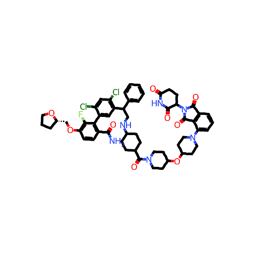 NC(=O)c1ccc(OC[C@@H]2CCCO2)c(F)c1-c1cc(C(CNC2CCC(C(=O)N3CCC(OC4CCN(c5cccc6c5C(=O)N(C5CCC(=O)NC5=O)C6=O)CC4)CC3)CC2)c2ccccc2)c(Cl)cc1Cl